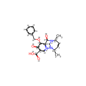 C[C@@H]1C=C[C@H](C)N2CN1n1cc(C(=O)O)c(=O)c(OCc3ccccc3)c1C2=O